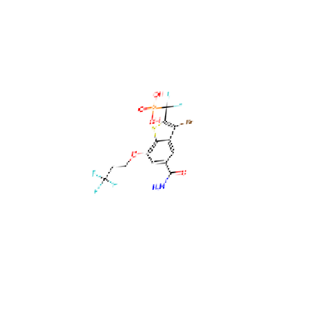 NC(=O)c1cc(OCCC(F)(F)F)c2sc(C(F)(F)P(=O)(O)O)c(Br)c2c1